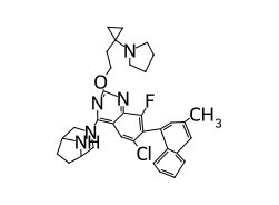 Cc1cc(-c2c(Cl)cc3c(N4CC5CCC(C4)N5)nc(OCCC4(N5CCCC5)CC4)nc3c2F)c2ccccc2c1